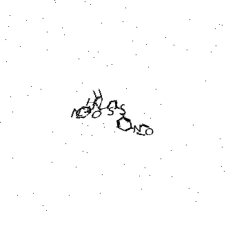 O=C(N[C@H]1CN2CCC1CC2)c1ccc(Sc2cccc(N3CCOCC3)c2)s1